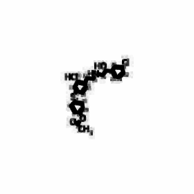 CC(=O)Oc1ccc(Sc2ccc(CCNC[C@@H](O)c3cccc(Cl)c3)cc2)cc1.Cl